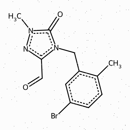 Cc1ccc(Br)cc1Cn1c(C=O)nn(C)c1=O